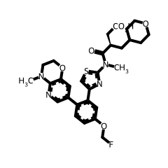 CN1CCOc2cc(-c3ccc(OCF)cc3-c3csc(N(C)C(=O)[C@@H](CC(=O)O)CC4CCOCC4)n3)cnc21